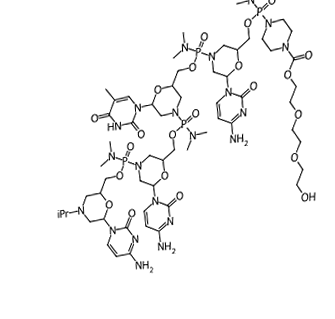 Cc1cn(C2CN(P(=O)(OCC3CN(P(=O)(OCC4CN(C(C)C)CC(n5ccc(N)nc5=O)O4)N(C)C)CC(n4ccc(N)nc4=O)O3)N(C)C)CC(COP(=O)(N(C)C)N3CC(COP(=O)(N(C)C)N4CCN(C(=O)OCCOCCOCCO)CC4)OC(n4ccc(N)nc4=O)C3)O2)c(=O)[nH]c1=O